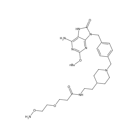 CCCCOc1nc(N)c2[nH]c(=O)n(Cc3ccc(CN4CCC(CCNC(=O)CCOCCON)CC4)cc3)c2n1